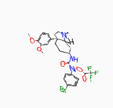 COc1ccc([C@]23CC[C@H](NC(=O)N(OC(=O)C(F)(F)F)c4ccc(Br)cc4)C[C@H]2N(C)CC3)cc1OC